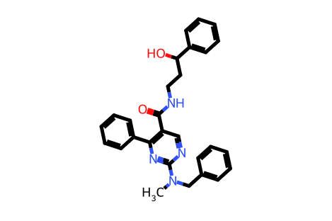 CN(Cc1ccccc1)c1ncc(C(=O)NCCC(O)c2ccccc2)c(-c2ccccc2)n1